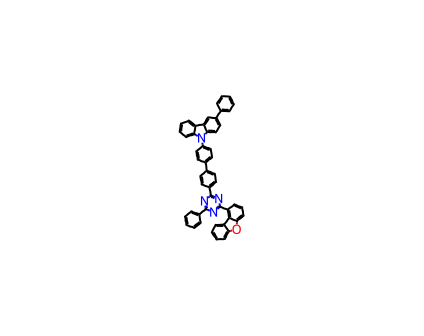 c1ccc(-c2ccc3c(c2)c2ccccc2n3-c2ccc(-c3ccc(-c4nc(-c5ccccc5)nc(-c5cccc6oc7ccccc7c56)n4)cc3)cc2)cc1